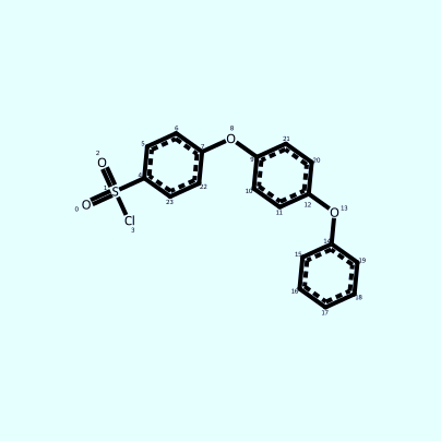 O=S(=O)(Cl)c1ccc(Oc2ccc(Oc3ccccc3)cc2)cc1